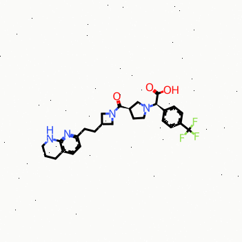 O=C(O)[C@@H](c1ccc(C(F)(F)F)cc1)N1CC[C@@H](C(=O)N2CC(CCc3ccc4c(n3)NCCC4)C2)C1